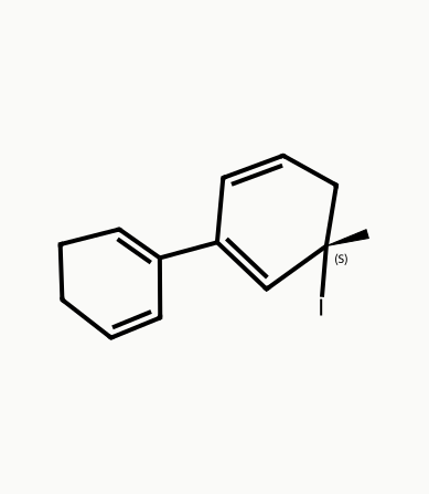 C[C@@]1(I)C=C(C2=CCCC=C2)C=CC1